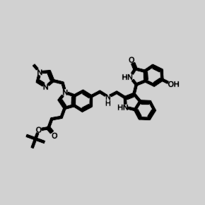 Cn1cnc(Cn2cc(CCC(=O)OC(C)(C)C)c3ccc(CNCc4[nH]c5ccccc5c4C4NC(=O)c5ccc(O)cc54)cc32)c1